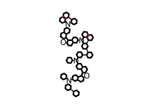 c1ccc(-c2cccc(N(c3ccccc3)c3ccc4c(ccc5oc6ccc7cc(N(c8ccccc8)c8cccc(-c9ccccc9-c9ccc(N(c%10ccccc%10)c%10ccc%11c(ccc%12oc%13ccc%14cc(N(c%15ccccc%15)c%15ccccc%15-c%15ccccc%15)ccc%14c%13c%12%11)c%10)c(-c%10ccccc%10)c9)c8)ccc7c6c54)c3)c2)cc1